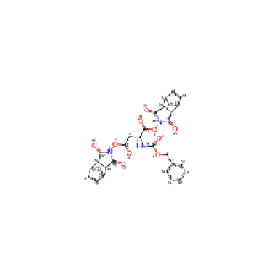 O=C(CC(NC(=O)OCc1ccccc1)C(=O)ON1C(=O)C2C3C=CC(C3)C2C1=O)ON1C(=O)C2C3C=CC(C3)C2C1=O